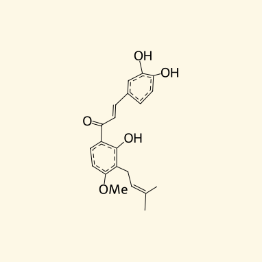 COc1ccc(C(=O)C=Cc2ccc(O)c(O)c2)c(O)c1CC=C(C)C